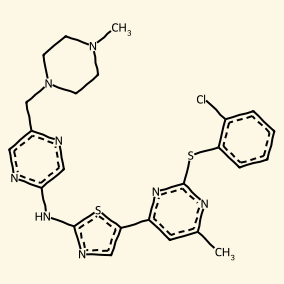 Cc1cc(-c2cnc(Nc3cnc(CN4CCN(C)CC4)cn3)s2)nc(Sc2ccccc2Cl)n1